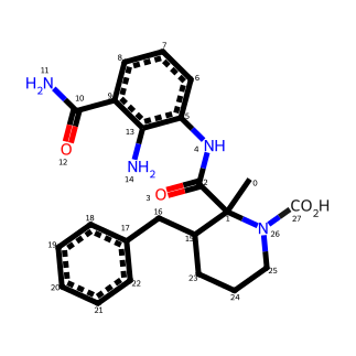 CC1(C(=O)Nc2cccc(C(N)=O)c2N)C(Cc2ccccc2)CCCN1C(=O)O